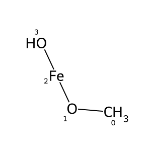 C[O][Fe][OH]